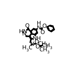 CN(Cc1[nH]c2cc(NC(=O)Oc3ccccc3)cc3c2c1C=NNC3=O)C(=O)OC(C)(C)C